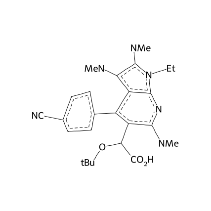 CCn1c(NC)c(NC)c2c(-c3ccc(C#N)cc3)c(C(OC(C)(C)C)C(=O)O)c(NC)nc21